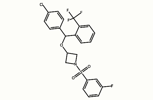 O=S(=O)(c1cccc(F)c1)N1CC(OC(c2ccc(Cl)cc2)c2ccccc2C(F)(F)F)C1